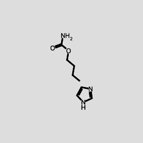 CCCCOC(N)=O.c1c[nH]cn1